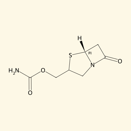 NC(=O)OCC1CN2C(=O)C[C@H]2S1